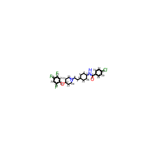 O=C(NC1CCC(CCN2CCC(Oc3cc(F)c(F)cc3F)CC2)CC1)c1ccc(Cl)cc1